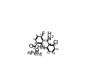 CCCCCOC(=O)c1ccc(F)cc1Nc1cccc(Cl)c1CN